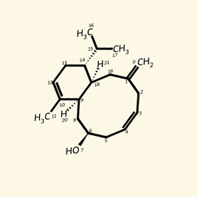 C=C1C/C=C\C[C@@H](O)C[C@H]2C(C)=CC[C@H](C(C)C)[C@H]2C1